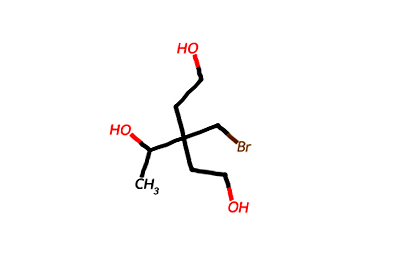 CC(O)C(CBr)(CCO)CCO